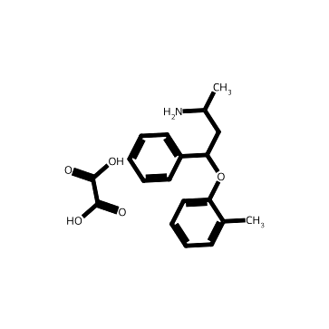 Cc1ccccc1OC(CC(C)N)c1ccccc1.O=C(O)C(=O)O